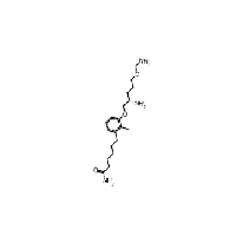 Cc1c(CCCCCC(N)=O)cccc1OC[C@@H](N)CCCOCN